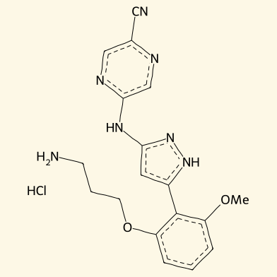 COc1cccc(OCCCN)c1-c1cc(Nc2cnc(C#N)cn2)n[nH]1.Cl